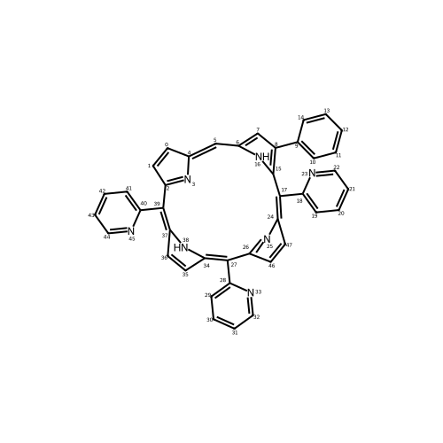 C1=Cc2nc1cc1cc(-c3ccccc3)c([nH]1)c(-c1ccccn1)c1nc(c(-c3ccccn3)c3ccc([nH]3)c2-c2ccccn2)C=C1